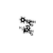 CNC(=O)C(CNC(=O)/C(C=N)=N/Nc1ccccc1)(CC1CC1)NC=O